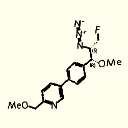 COCc1ccc(-c2ccc([C@@H](OC)[C@@H](CF)N=[N+]=[N-])cc2)cn1